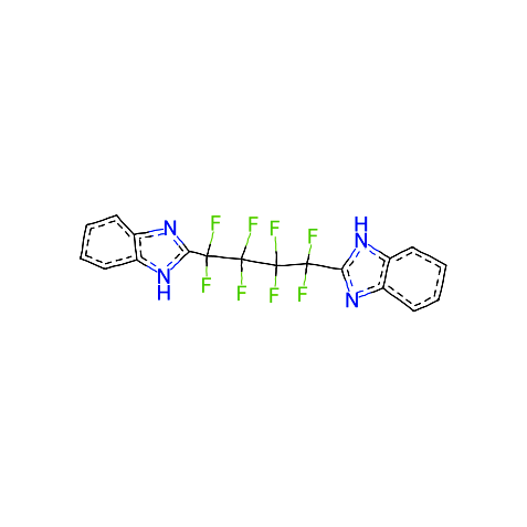 FC(F)(c1nc2ccccc2[nH]1)C(F)(F)C(F)(F)C(F)(F)c1nc2ccccc2[nH]1